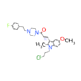 COc1ccc2c(c1)c(/C=C/C(=O)N1CCN(CCc3ccc(F)cc3)CC1)c(C)n2CCCCl